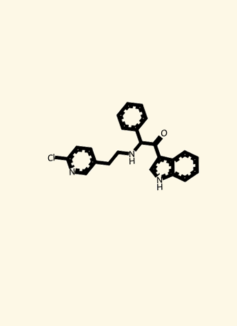 O=C(c1c[nH]c2ccccc12)C(NCCc1ccc(Cl)nc1)c1ccccc1